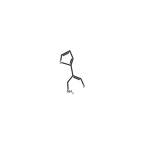 NCC(=CF)c1cccs1